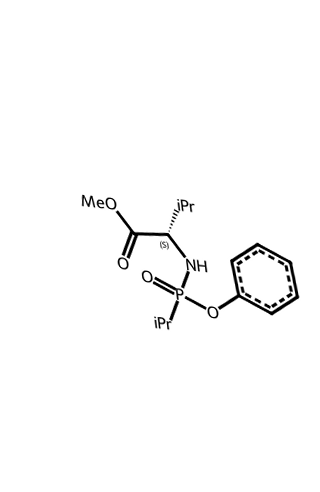 COC(=O)[C@@H](NP(=O)(Oc1ccccc1)C(C)C)C(C)C